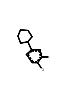 Clc1ccc([C]2CCCCC2)cc1Cl